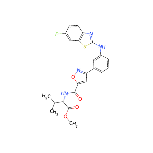 COC(=O)[C@@H](NC(=O)c1cc(-c2cccc(Nc3nc4ccc(F)cc4s3)c2)no1)C(C)C